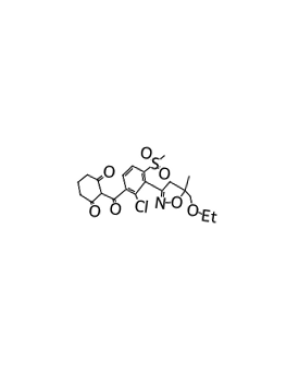 CCOCC1(C)CC(c2c(S(C)(=O)=O)ccc(C(=O)C3C(=O)CCCC3=O)c2Cl)=NO1